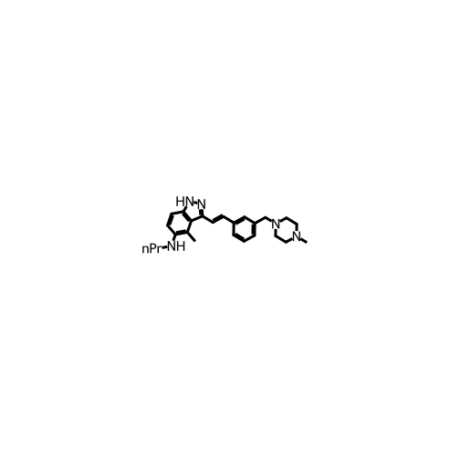 CCCNc1ccc2[nH]nc(/C=C/c3cccc(CN4CCN(C)CC4)c3)c2c1C